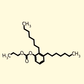 CCCCCCCc1cccc(OC(=O)OCCC)c1CCCCCCC